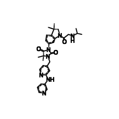 CC(C)NCC(=O)N1CC(C)(C)c2ccc(N3C(=O)N(Cc4ccnc(Nc5cccnc5)c4)C(C)(C)C3=O)cc21